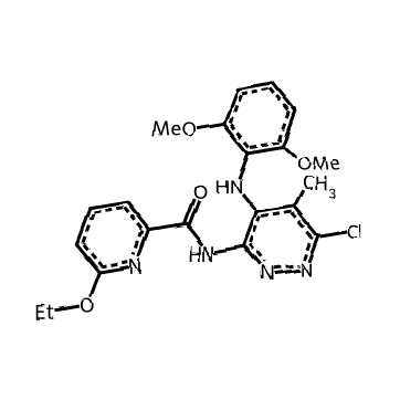 CCOc1cccc(C(=O)Nc2nnc(Cl)c(C)c2Nc2c(OC)cccc2OC)n1